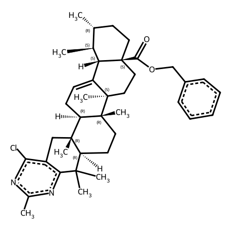 Cc1nc(Cl)c2c(n1)C(C)(C)[C@@H]1CC[C@]3(C)[C@H](CC=C4[C@@H]5[C@@H](C)[C@H](C)CC[C@]5(C(=O)OCc5ccccc5)CC[C@]43C)[C@@]1(C)C2